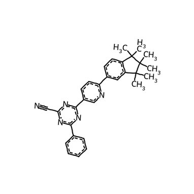 CC1(C)c2ccc(-c3ccc(-c4nc(C#N)nc(-c5ccccc5)n4)cn3)cc2C(C)(C)C1(C)C